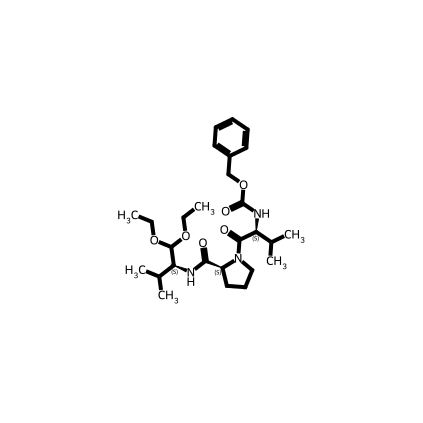 CCOC(OCC)[C@@H](NC(=O)[C@@H]1CCCN1C(=O)[C@@H](NC(=O)OCc1ccccc1)C(C)C)C(C)C